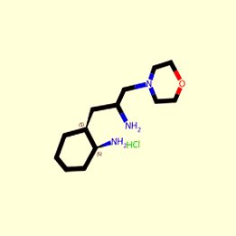 Cl.NC(C[C@@H]1CCCC[C@@H]1N)CN1CCOCC1